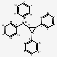 c1ccc(C2C(c3ccccc3)C2P(c2ccccc2)c2ccccc2)cc1